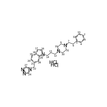 Cl.Cl.c1ccc(CCN2CCN(CCCn3ccc4ccc(Cn5cnnc5)cc43)CC2)cc1